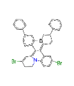 BrC1=CC2=C3C(=C4C=CC(c5ccccc5)=CB4c4cc(-c5ccccc5)ccc43)c3cc(Br)ccc3N2C=C1